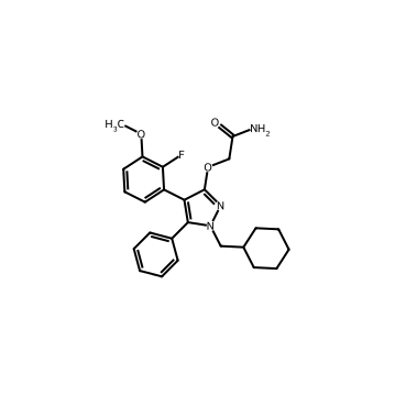 COc1cccc(-c2c(OCC(N)=O)nn(CC3CCCCC3)c2-c2ccccc2)c1F